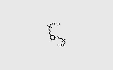 CC(C)(CCCc1cccc(CCCC(C)(C)CC(=O)O)c1)CC(=O)O